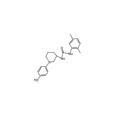 Cc1ccc(C)c(NC(=O)NC2CCCN(c3ccc(O)cc3)C2)c1